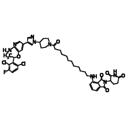 CC(Oc1cc(-c2cnn(C3CCN(C(=O)CCCCCCCCCCCNc4cccc5c4C(=O)N(C4CCC(=O)NC4=O)C5=O)CC3)c2)cnc1N)c1c(Cl)ccc(F)c1Cl